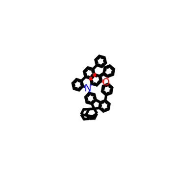 c1ccc(-c2ccc(-c3ccccc3N(c3ccc4c(c3)-c3c(-c5ccccc5)cccc3C43C4CC5CC(C4)CC3C5)c3ccc4c(c3)oc3ccccc34)cc2)cc1